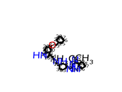 CN(C)c1nc(N[C@H]2CC[C@@H](CNCCc3c[nH]c4ccc(OCc5ccccc5)cc34)CC2)nc2ccccc12